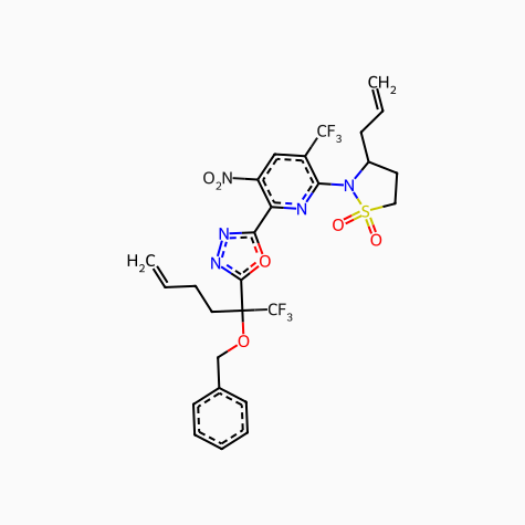 C=CCCC(OCc1ccccc1)(c1nnc(-c2nc(N3C(CC=C)CCS3(=O)=O)c(C(F)(F)F)cc2[N+](=O)[O-])o1)C(F)(F)F